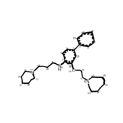 c1ccc(-c2ccc(NCCCN3CCCCC3)c(OCCN3CCCCC3)c2)cc1